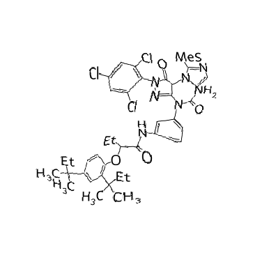 CCC(Oc1ccc(C(C)(C)CC)cc1C(C)(C)CC)C(=O)Nc1cccc(N(C(N)=O)C2=NN(c3c(Cl)cc(Cl)cc3Cl)C(=O)C2n2ccnc2SC)c1